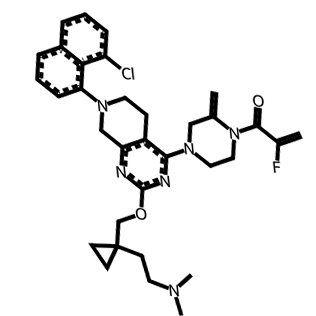 C=C(F)C(=O)N1CCN(c2nc(OCC3(CCN(C)C)CC3)nc3c2CCN(c2cccc4cccc(Cl)c24)C3)CC1=C